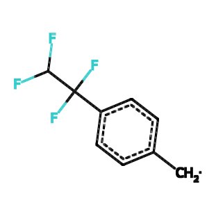 [CH2]c1ccc(C(F)(F)C(F)F)cc1